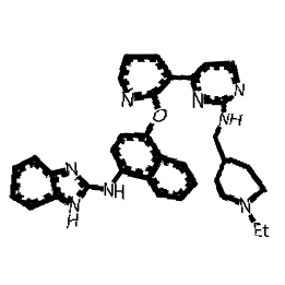 CCN1CCC(CNc2nccc(-c3cccnc3Oc3ccc(Nc4nc5ccccc5[nH]4)c4ccccc34)n2)CC1